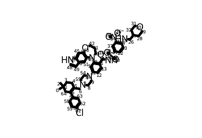 CC1(C)CCC(CN2CCN(c3ccc(C(=O)NS(=O)(=O)c4ccc(NCC5CCOCC5)c([N+](=O)[O-])c4)c(N4CCCOc5cc6[nH]ccc6cc54)c3)CC2)=C(c2ccc(Cl)cc2)C1